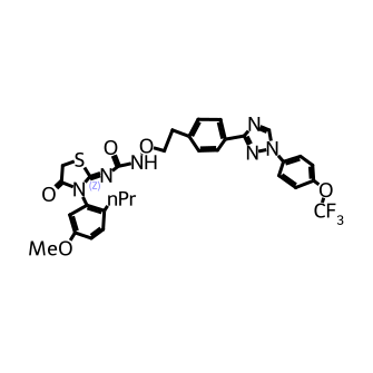 CCCc1ccc(OC)cc1N1C(=O)CS/C1=N\C(=O)NOCCc1ccc(-c2ncn(-c3ccc(OC(F)(F)F)cc3)n2)cc1